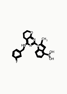 Cc1cc2c(B(O)O)cccc2n1-c1nc(NCc2cccc(F)c2)c2c(n1)OCCC2